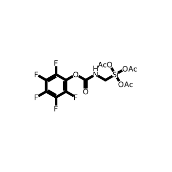 CC(=O)O[Si](CNC(=O)Oc1c(F)c(F)c(F)c(F)c1F)(OC(C)=O)OC(C)=O